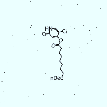 CCCCCCCCCCCCCCCCCC(=O)Oc1cc(=O)[nH]cc1Cl